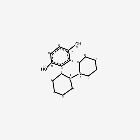 C1CCN(N2CCCCC2)CC1.Oc1ccc(O)cc1